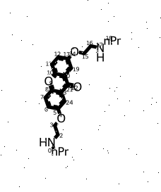 CCCNCCOc1ccc2oc3ccc(OCCNCCC)cc3c(=O)c2c1